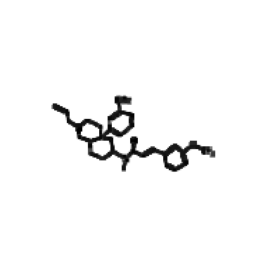 C=CCN1CCC2(c3cccc(OC(C)=O)c3)CC(N(C)C(=O)/C=C/c3cccc(OC(F)(F)F)c3)CCC2C1